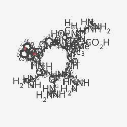 CSSC1(C)[C@@H](C(=O)NC(C(=O)N[C@@H](CCCNC(=N)N)C(=O)NC(C(=O)O)C(C)(C)C)C(C)O)NC(=O)[C@@H]2CCCCN2C(=O)[C@H](Cc2csc3ccccc23)NC(=O)[C@H](Cc2ccc3ccccc3c2)NC(=O)[C@H](CCCNC(=N)N)NC(=O)[C@H](CCCNC(=N)N)NC(=O)[C@@H](CCCNC(=N)N)NC(=O)CN1C(C)=O